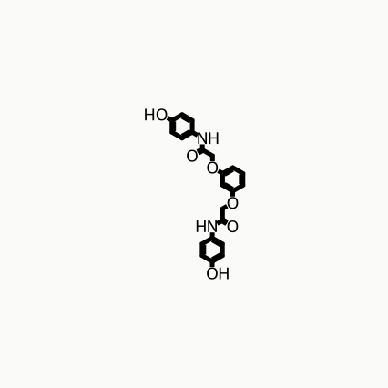 O=C(COc1cccc(OCC(=O)Nc2ccc(O)cc2)c1)Nc1ccc(O)cc1